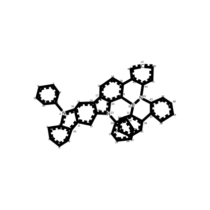 c1ccc(-n2c3ccccc3c3cc4c(cc32)c2ccc3c(c2n4-c2ccccc2)B2c4ccccc4-c4ccccc4N2c2ccccc2-3)cc1